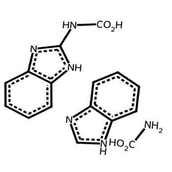 NC(=O)O.O=C(O)Nc1nc2ccccc2[nH]1.c1ccc2[nH]cnc2c1